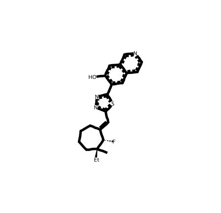 CC[C@@]1(C)CCCC/C(=C\c2nnc(-c3cc4ccncc4cc3O)s2)[C@@H]1F